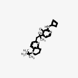 CC(C)(Cc1ccc2c(n1)CCCN2C(C)(C)C)c1ccnc(NC2CCC2)c1Cl